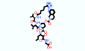 CCCC(NC(=O)[C@@H]1C[C@@H](OC(=O)N2CCc3ccccc3C2)CN1C(=O)[C@@H](NC(=O)[C@@H](NC(=O)CCCCc1nnn[nH]1)C(C)C)C(C)C)C(=O)C(=O)NCC(=O)O